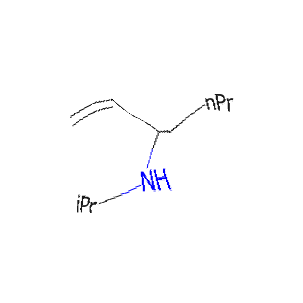 C=CC(CCC)NC(C)C